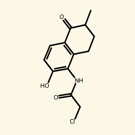 CC1CCc2c(ccc(O)c2NC(=O)CCl)C1=O